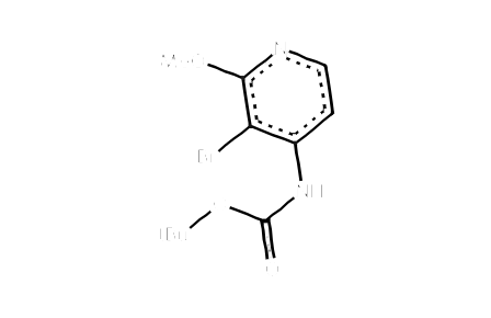 COc1nccc(NC(=O)OC(C)(C)C)c1Br